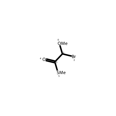 COC(Br)C(=O)SC